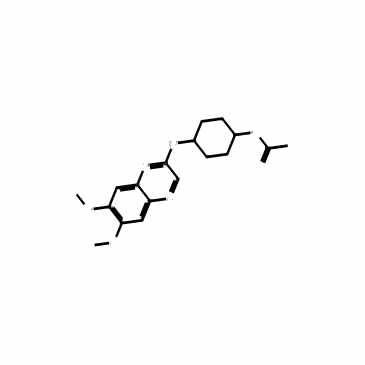 COc1cc2ncc(NC3CCC(OC(C)=O)CC3)nc2cc1OC